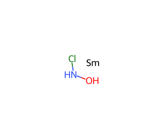 ONCl.[Sm]